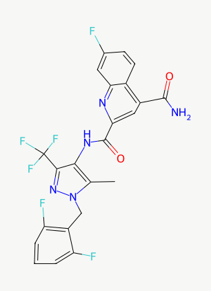 Cc1c(NC(=O)c2cc(C(N)=O)c3ccc(F)cc3n2)c(C(F)(F)F)nn1Cc1c(F)cccc1F